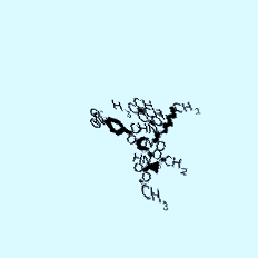 C=CCCCCC[C@H](NC(=O)OC(C)(C)C)C(=O)N1C[C@H](OC(=O)c2ccc([N+](=O)[O-])cc2)C[C@H]1C(=O)N[C@]1(C(=O)OCC)C[C@H]1C=C